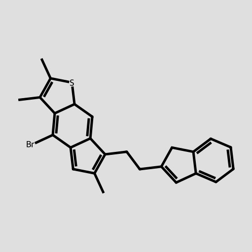 CC1=C(CCC2=Cc3ccccc3C2)C2=CC3SC(C)=C(C)C3=C(Br)C2=C1